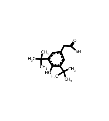 CC(C)(C)c1cc(CC(=O)S)cc(C(C)(C)C)c1O